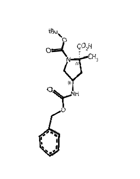 CC(C)(C)OC(=O)N1C[C@H](NC(=O)OCc2ccccc2)C[C@@]1(C)C(=O)O